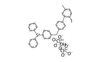 Cc1ccc(I)c(-c2ccc(Cc3ccc([S+](c4ccccc4)c4ccccc4)cc3)cc2)c1.[O-][Cl+3]([O-])([O-])O.[O-][Cl+3]([O-])([O-])[O-]